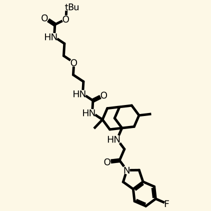 CC1CC2CC(C)(NC(=O)NCCOCCNC(=O)OC(C)(C)C)CC(NCC(=O)N3Cc4ccc(F)cc4C3)(C1)C2